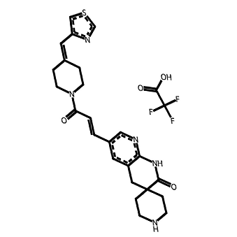 O=C(C=Cc1cnc2c(c1)CC1(CCNCC1)C(=O)N2)N1CCC(=Cc2cscn2)CC1.O=C(O)C(F)(F)F